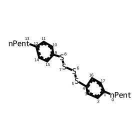 CCCCCc1ccc(SSSSc2ccc(CCCCC)cc2)cc1